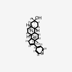 C[C@@]1(O)CC[C@H]2[C@H](CC[C@@H]3[C@@H]2CC[C@]2(C)C(c4ccncc4)=CC[C@@H]32)C1